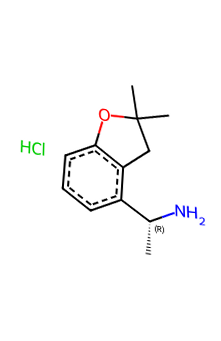 C[C@@H](N)c1cccc2c1CC(C)(C)O2.Cl